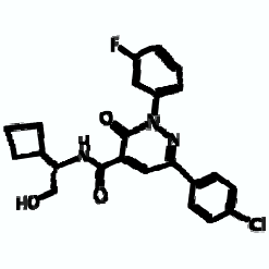 O=C(N[C@@H](CO)C1CCC1)c1cc(-c2ccc(Cl)cc2)nn(-c2cccc(F)c2)c1=O